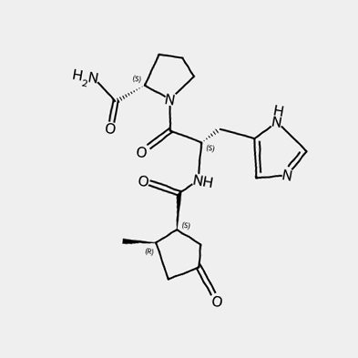 C[C@@H]1CC(=O)C[C@@H]1C(=O)N[C@@H](Cc1cnc[nH]1)C(=O)N1CCC[C@H]1C(N)=O